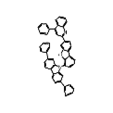 c1ccc(-c2ccc3c4ccc(-c5ccccc5)cc4n(-c4cccc5c4oc4cc(-c6cc(-c7ccccc7)c7ccccc7n6)ccc45)c3c2)cc1